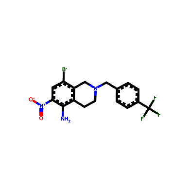 Nc1c([N+](=O)[O-])cc(Br)c2c1CCN(Cc1ccc(C(F)(F)F)cc1)C2